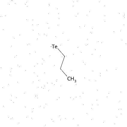 CCC[Te]